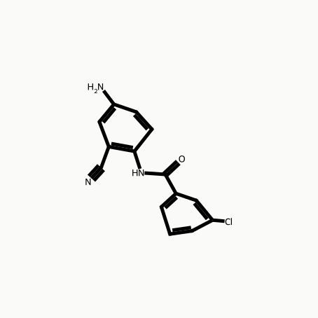 N#Cc1cc(N)ccc1NC(=O)c1cccc(Cl)c1